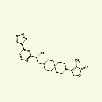 CC1=C(N2CCC3(CCN(C[C@@H](O)c4cc(-n5cnnn5)ccn4)CC3)CC2)COC1=O